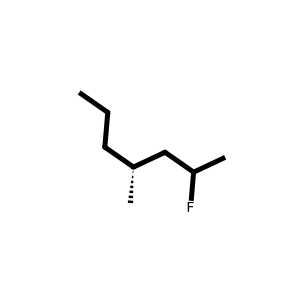 CCC[C@@H](C)CC(C)F